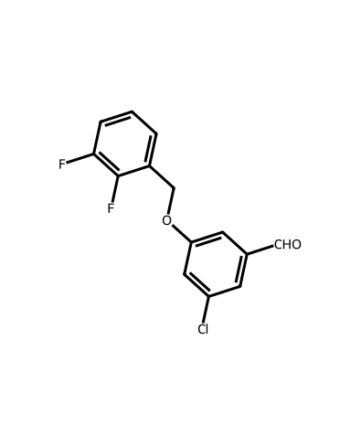 O=Cc1cc(Cl)cc(OCc2cccc(F)c2F)c1